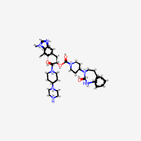 Cc1cc(C[C@@H](OC(=O)N2CCC(N3CCc4ccccc4NC3=O)CC2)C(=O)N2CCC(N3CCNCC3)CC2)cc2ncn(C)c12